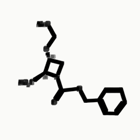 COCO[C@@H]1CN(C(=O)OCc2ccccc2)[C@H]1C(=O)O